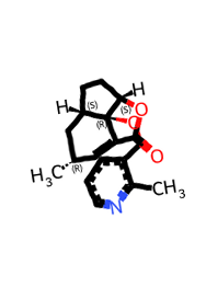 Cc1ncccc1CO[C@@]12C3=C[C@H](C)C[C@@H]1CC[C@@H]2OC3=O